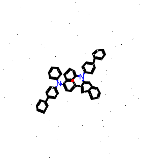 c1ccc(-c2ccc(N(c3ccccc3)c3ccc(-c4cc5ccccc5cc4N(c4ccccc4)c4ccc(-c5ccccc5)cc4)cc3)cc2)cc1